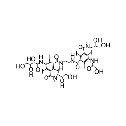 CN(CC(O)CO)C(=O)c1c(I)c(NC(=O)CO)c(I)c(C(=O)NCCNC(=O)c2c(I)c(NC(=O)C(O)C(O)CO)c(I)c(C(=O)N(C)CC(O)CO)c2I)c1I